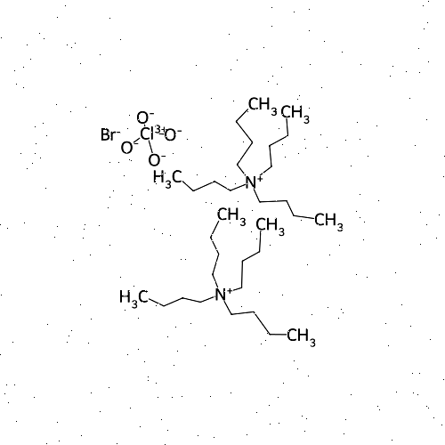 CCCC[N+](CCCC)(CCCC)CCCC.CCCC[N+](CCCC)(CCCC)CCCC.[Br-].[O-][Cl+3]([O-])([O-])[O-]